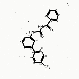 O=C(NC(=O)c1ccccc1)Nc1cccc(-c2ccc(C(F)(F)F)cn2)c1